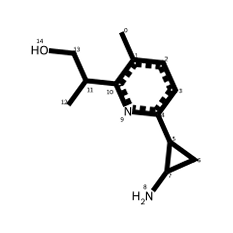 Cc1ccc(C2CC2N)nc1C(C)CO